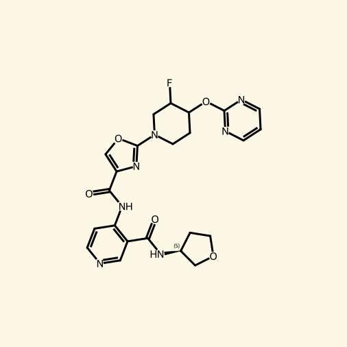 O=C(Nc1ccncc1C(=O)N[C@H]1CCOC1)c1coc(N2CCC(Oc3ncccn3)C(F)C2)n1